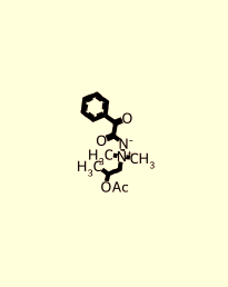 CC(=O)OC(C)C[N+](C)(C)[N-]C(=O)C(=O)c1ccccc1